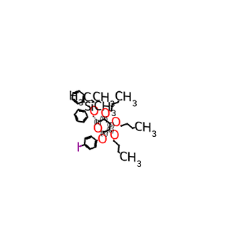 CCCCO[C@@H]1[C@H](OCCCC)[C@@H](Oc2ccc(I)cc2)O[C@H](CO[Si](c2ccccc2)(c2ccccc2)C(C)(C)C)[C@H]1OCCCC